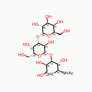 CC(=O)N[C@@H](C=O)[C@@H](O)[C@H](O[C@@H]1O[C@H](CO)[C@H](O)[C@H](O[C@H]2O[C@H](CO)[C@H](O)[C@H](O)[C@H]2O)[C@H]1O)[C@H](O)CO